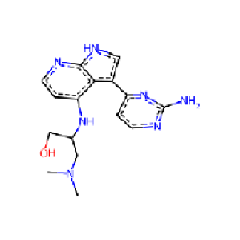 CN(C)CC(CO)Nc1ccnc2[nH]cc(-c3ccnc(N)n3)c12